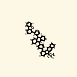 CC1(C)c2cc3ccccc3cc2-c2c(-c3ccc(-c4c5ccccc5c(-c5cccc(-c6cccc7c6oc6ccccc67)c5)c5ccccc45)cc3)cccc21